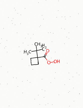 CC(C)(C)C1(C(=O)OO)CCC1